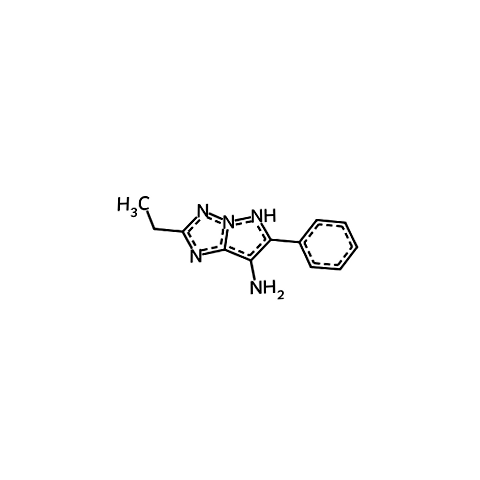 CCc1nc2c(N)c(-c3ccccc3)[nH]n2n1